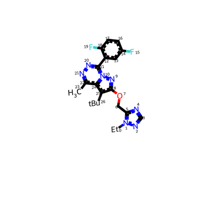 CCn1ncnc1COc1nn2c(-c3cc(F)ccc3F)nnc(C)c2c1C(C)(C)C